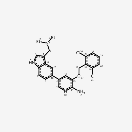 CCN(CC)Cc1c[nH]c2ccc(-c3cnc(N)c(OCc4c(Cl)cccc4Cl)c3)cc12